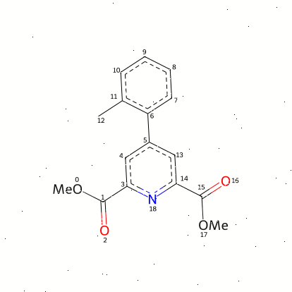 COC(=O)c1cc(-c2ccccc2C)cc(C(=O)OC)n1